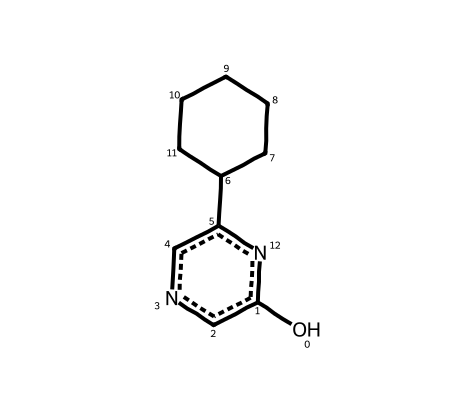 Oc1cncc(C2CCCCC2)n1